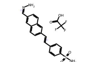 N/N=C\c1ccc2cc(/C=C/c3ccc(S(N)(=O)=O)cc3)ccc2c1.O=C(O)C(F)(F)F